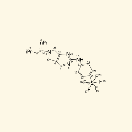 CCC[C@@H](CC(C)C)N1Cc2cnc(Nc3ccc(S(F)(F)(F)(F)F)cc3)nc2C1